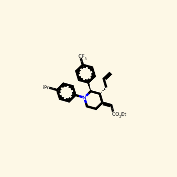 C=CC[C@@H]1/C(=C/C(=O)OCC)CCN(c2ccc(C(C)C)cc2)[C@H]1c1ccc(C(F)(F)F)cc1